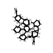 CC1CC=CC2=C1N(c1ccc(-c3ccccc3-n3c4ccccc4c4cc(C#N)ccc43)c(-c3ccccc3C#N)c1)C13C=CC(C#N)=CC1C23